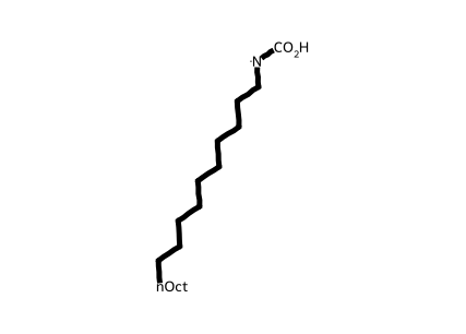 CCCCCCCCCCCCCCCCCC[N]C(=O)O